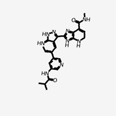 C/C=C(\C=C1/C(=N)NN=C1c1nc2c([nH]1)NCC=C2C(=O)NC)c1cncc(NC(=O)C(C)C)c1